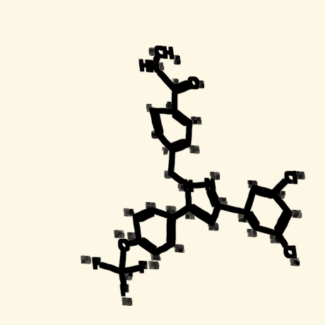 CNC(=O)c1ccc(Cn2nc(-c3cc(Cl)cc(Cl)c3)cc2-c2ccc(OC(F)(F)F)cc2)cc1